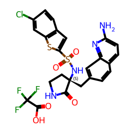 Nc1ccc2ccc(C[C@]3(NS(=O)(=O)c4cc5ccc(Cl)cc5s4)CCNC3=O)cc2n1.O=C(O)C(F)(F)F